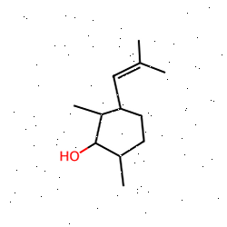 CC(C)=CC1CCC(C)C(O)C1C